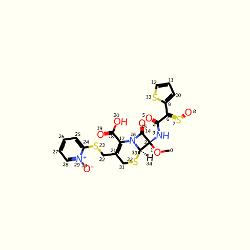 CO[C@@]1(NC(=O)C(=S=O)c2cccs2)C(=O)N2C(C(=O)O)=C(CSc3cccc[n+]3[O-])CS[C@@H]21